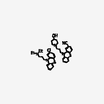 CCN(CC)CCCN1c2ccccc2Sc2ccc(Cl)cc21.N#Cc1ccc2c(c1)N(CCCN1CCC(O)CC1)c1ccccc1S2